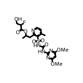 COc1cc(OC)nc(NC(=O)NS(=O)(=O)c2c(C)ccnc2CC(C)OC(=O)C(F)CO)n1